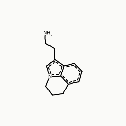 NCCc1cn2c3c(cccc13)CCC2